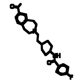 CC(=O)c1ccc2c(c1)CCN(CCC1CCC(NC(=O)c3ccc(F)cc3)CC1)CC2